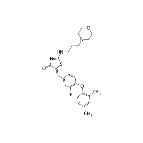 Cc1ccc(Oc2ccc(/C=C3\SC(NCCCN4CCOCC4)=NC3=O)cc2F)c(C(F)(F)F)c1